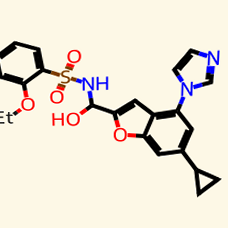 CCOc1ccccc1S(=O)(=O)NC(O)c1cc2c(-n3ccnc3)cc(C3CC3)cc2o1